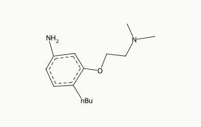 CCCCc1ccc(N)cc1OCCN(C)C